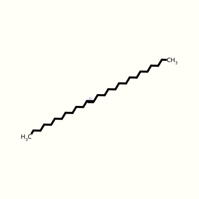 CCCCCCCCCCC/C=C/CCCCCCCCCCCCCC